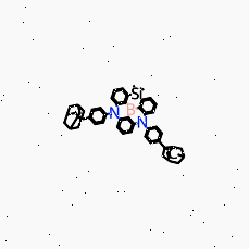 C[Si]1(C)c2cccc3c2B2c4c(cccc4N(c4ccc(C56CC7CC(CC5C7)C6)cc4)c4cccc1c42)N3c1ccc(C23CC4CC(CC(C4)C2)C3)cc1